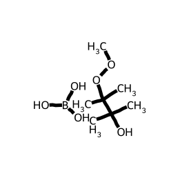 COOC(C)(C)C(C)(C)O.OB(O)O